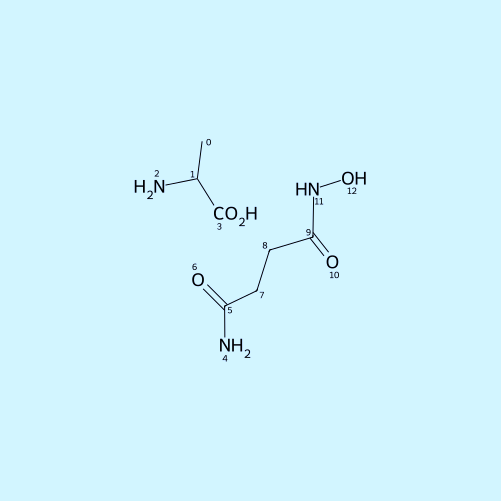 CC(N)C(=O)O.NC(=O)CCC(=O)NO